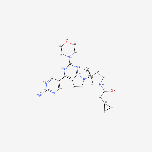 C[C@@]1(N2CCc3c(-c4cnc(N)nc4)nc(N4CCOCC4)nc32)CCN(C(=O)CC2CC2)C1